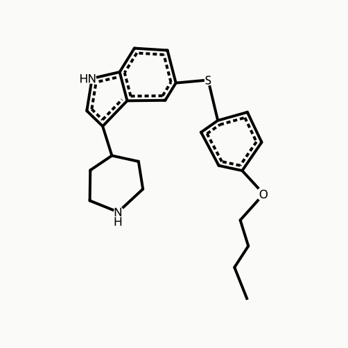 CCCCOc1ccc(Sc2ccc3[nH]cc(C4CCNCC4)c3c2)cc1